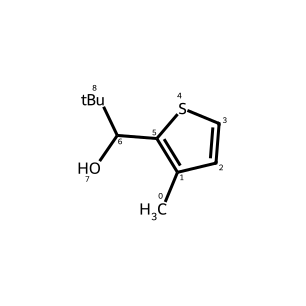 Cc1ccsc1C(O)C(C)(C)C